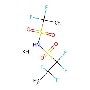 O=S(=O)(NS(=O)(=O)C(F)(F)C(F)(F)C(F)(F)F)C(F)(F)C(F)(F)F.[KH]